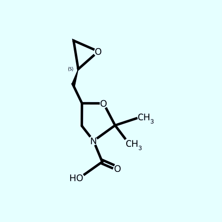 CC1(C)OC(C[C@H]2CO2)CN1C(=O)O